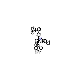 CC(C)c1ccc2oc(C(=O)N/C(C=C3CCC(c4ccccc4CN4CCCCC4=O)CC3)=C\c3ccc(Cl)cc3)cc(=O)c2c1